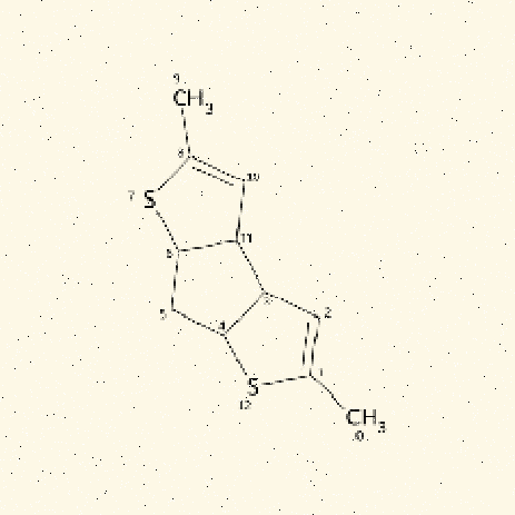 CC1=CC2C(CC3SC(C)=CC32)S1